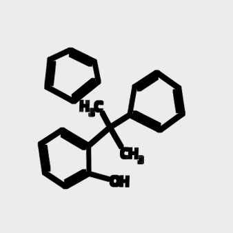 CC(C)(c1ccccc1)c1ccccc1O.c1ccccc1